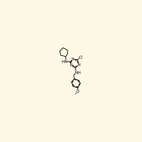 COc1ccc(CNc2nc(Cl)nc(NC3CCCCC3)n2)cc1